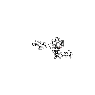 Cc1cc(OCCCc2c3n(c4c(-c5c(C)nn(C)c5C)c(Cl)ccc24)[C@H](C)CN(c2cn(C)c4ccc(-c5nc6c(C)cccn6n5)cc24)C3=O)cc(C)c1Cl